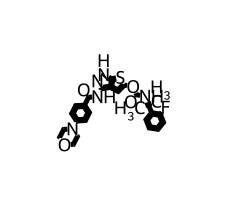 CC(C)(NC(=O)Oc1cc2c(NC(=O)c3ccc(N4CCOCC4)cc3)n[nH]c2s1)c1ccccc1F